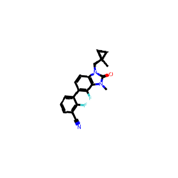 Cn1c(=O)n(CC2(C)CC2)c2ccc(-c3cccc(C#N)c3F)c(F)c21